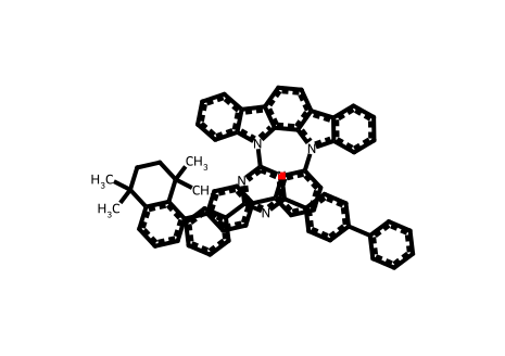 CC1(C)CCC(C)(C)c2c(-c3ccc(-c4cccc(-n5c6ccccc6c6ccc7c8ccccc8n(-c8nc(-c9ccccc9)nc(-c9ccc(-c%10ccccc%10)cc9)n8)c7c65)c4)cc3)cccc21